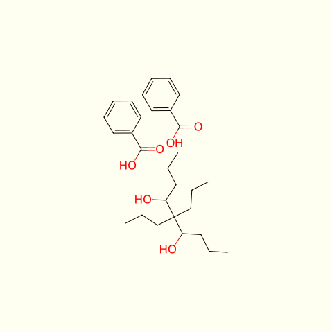 CCCC(O)C(CCC)(CCC)C(O)CCC.O=C(O)c1ccccc1.O=C(O)c1ccccc1